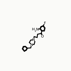 Nc1cc(F)ccc1C(=O)CCCN1CCN(Cc2ccccc2)CC1